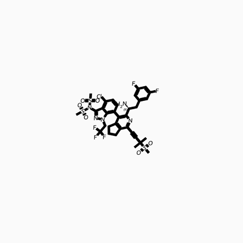 CC(C)(C#Cc1nc([C@H](N)Cc2cc(F)cc(F)c2)c(-c2ccc(Cl)c3c(N(S(C)(=O)=O)S(C)(=O)=O)nn(CC(F)(F)F)c23)c2c1CCC2)S(C)(=O)=O